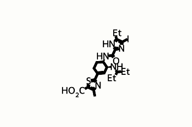 CCc1[nH]c(C(=O)N[C@@H]2CCC(c3nc(C)c(C(=O)O)s3)=C[C@@H]2NC(CC)CC)nc1I